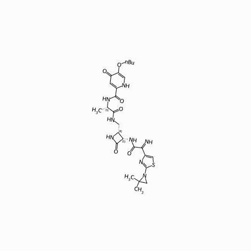 CCCCOc1c[nH]c(C(=O)N[C@@H](C)C(=O)NC[C@H]2NC(=O)[C@H]2NC(=O)C(=N)c2csc(N3CC3(C)C)n2)cc1=O